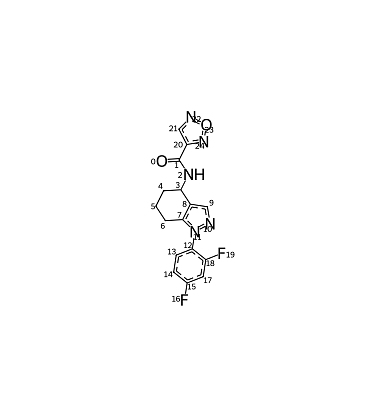 O=C(NC1CCCc2c1cnn2-c1ccc(F)cc1F)c1cnon1